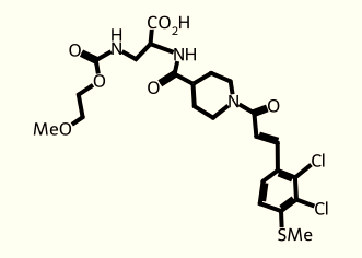 COCCOC(=O)NCC(NC(=O)C1CCN(C(=O)C=Cc2ccc(SC)c(Cl)c2Cl)CC1)C(=O)O